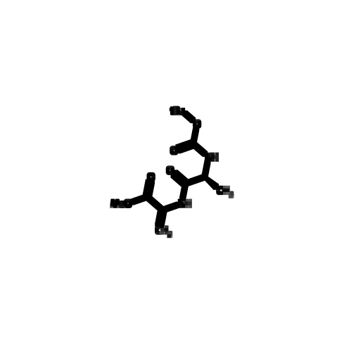 C=C(NC(=O)[C@H](C)NC(=O)OC(C)(C)C)C(=O)OC